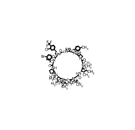 CC[C@H](C)[C@@H]1NC(=O)[C@H](CC(C)C)N(C)C(=O)C[C@@H](C(=O)N(C)C)N(C)C(=O)[C@H]([C@@H](C)CC)N(C)C(=O)C2(CCCC2)NC(=O)[C@H](Cc2cccc(Br)c2)N(C)C(=O)[C@H](CCc2ccc(C(F)(F)F)c(Cl)c2)NC(=O)CN(C)C(=O)[C@H](Cc2ccc(C)cc2)N(C)C(=O)[C@@H]2CCN2C(=O)[C@H](C)N(C)C1=O